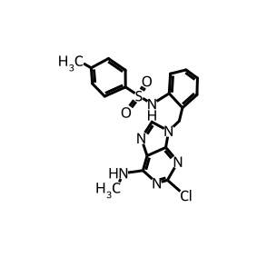 CNc1nc(Cl)nc2c1ncn2Cc1ccccc1NS(=O)(=O)c1ccc(C)cc1